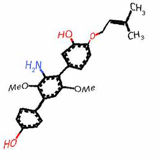 COc1cc(-c2ccc(O)cc2)c(OC)c(N)c1-c1ccc(OCC=C(C)C)c(O)c1